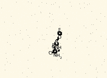 COc1cc(N)c(Cl)cc1C(=O)NC1CCN(CCCOc2ccc(F)cc2)C[C@H]1F